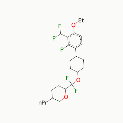 CCCC1CCC(C(F)(F)OC2CCC(c3ccc(OCC)c(C(F)F)c3F)CC2)OC1